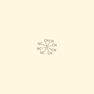 N#[C][Zr]([C]#N)([C]#N)([C]#N)([C]#N)([C]#N)([C]#N)[C]#N